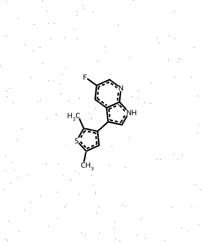 Cc1cc(-c2c[nH]c3ncc(F)cc23)c(C)s1